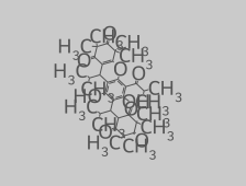 CC(C)C(=O)c1c(O)c(C(C(C)C)C2C(=O)C(C)(C)C(=O)C(C)(C)C2=O)c(O)c2c1OC1=C(C(=O)C(C)(C)C(=O)C1(C)C)C2C(C)C